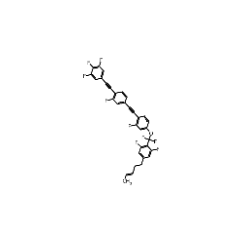 C/C=C/CCc1cc(F)c(C(F)(F)Oc2ccc(C#Cc3ccc(C#Cc4cc(F)c(F)c(F)c4)c(F)c3)c(F)c2)c(F)c1